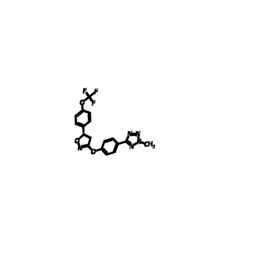 Cn1nnc(-c2ccc(OC3=NO[C@@H](c4ccc(OC(F)(F)F)cc4)C3)cc2)n1